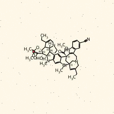 CCC1=C[C@H]2CN(C1)Cc1c([nH]c3ccc(C#N)cc13)[C@@](C(=O)OC)(c1cc3c(cc1OC)N(C)[C@H]1[C@@](O)(C(=O)OC)[C@H](OC(C)=O)C4C(CC)=CCN5CC[C@]31[C@H]45)C2